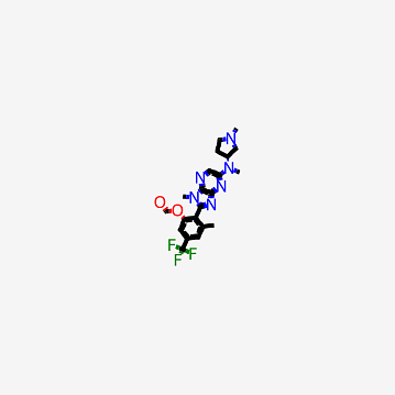 Cc1cc(C(F)(F)F)cc(OC=O)c1-c1nc2nc(N(C)[C@@H]3CCN(C)C3)cnc2n1C